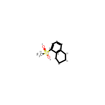 O=S(=O)(c1cccc2c1[CH]CCC2)C(F)(F)F